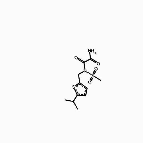 CC(C)c1ccc(CN(C(=O)C(N)=O)S(C)(=O)=O)s1